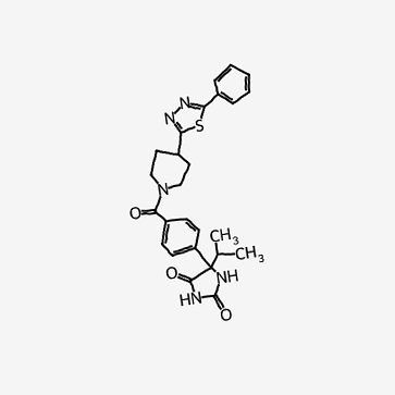 CC(C)C1(c2ccc(C(=O)N3CCC(c4nnc(-c5ccccc5)s4)CC3)cc2)NC(=O)NC1=O